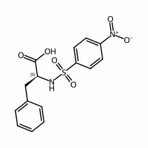 O=C(O)[C@H](Cc1ccccc1)NS(=O)(=O)c1ccc([N+](=O)[O-])cc1